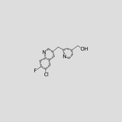 OCc1ccnc(Cc2cnc3cc(F)c(Cl)cc3c2)c1